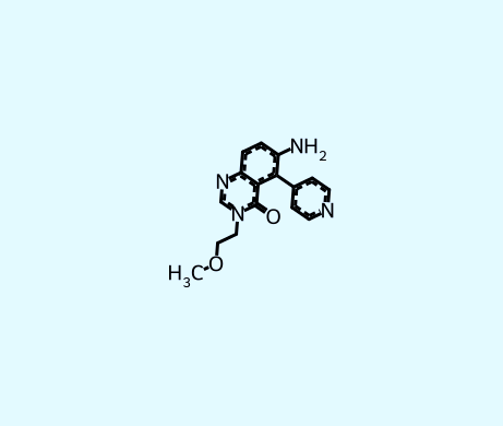 COCCn1cnc2ccc(N)c(-c3ccncc3)c2c1=O